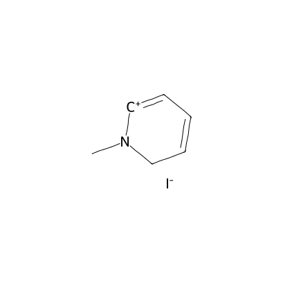 CN1[C+]=CC=CC1.[I-]